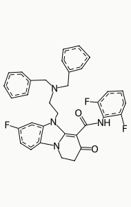 O=C1CCN2C(=C1C(=O)Nc1c(F)cccc1F)N(CCN(Cc1ccccc1)Cc1ccccc1)c1cc(F)ccc12